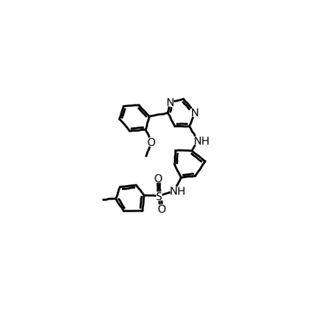 COc1ccccc1-c1cc(Nc2ccc(NS(=O)(=O)c3ccc(C)cc3)cc2)ncn1